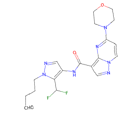 O=CCCCn1ncc(NC(=O)c2cnn3ccc(N4CCOCC4)nc23)c1C(F)F